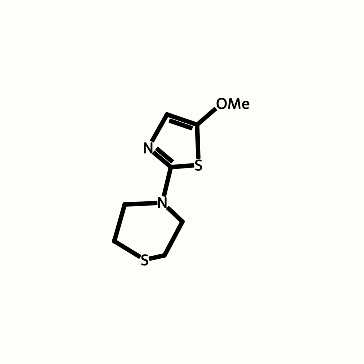 COc1cnc(N2CCSCC2)s1